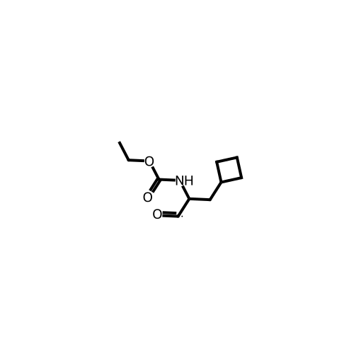 CCOC(=O)NC([C]=O)CC1CCC1